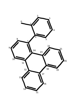 Cc1ccccc1-c1cccc2c3ccccc3c3ccccc3c12